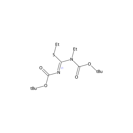 CCS/C(=N\C(=O)OC(C)(C)C)N(CC)C(=O)OC(C)(C)C